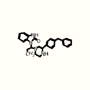 CCC(N1CCNC(c2ccc(Cc3ccccc3)cc2)C1)n1c(=O)[nH]c2ccccc21